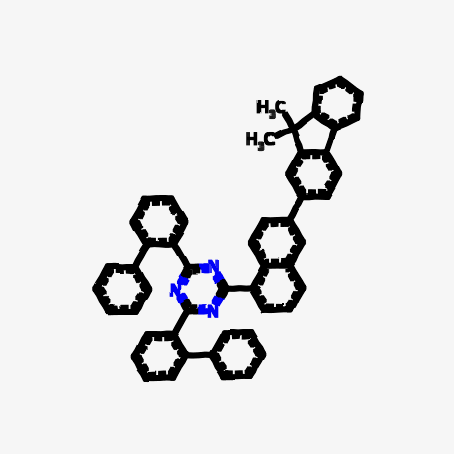 CC1(C)c2ccccc2-c2ccc(-c3ccc4c(-c5nc(-c6ccccc6-c6ccccc6)nc(-c6ccccc6-c6ccccc6)n5)cccc4c3)cc21